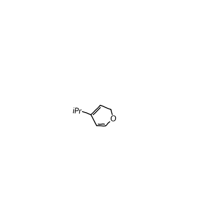 CC(C)C1=CCOC=C1